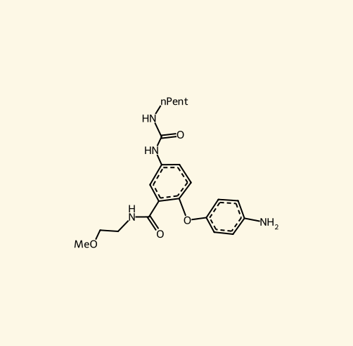 CCCCCNC(=O)Nc1ccc(Oc2ccc(N)cc2)c(C(=O)NCCOC)c1